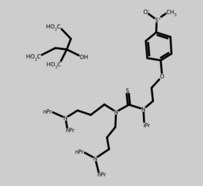 CCCN(CCC)CCCN(CCCN(CCC)CCC)C(=S)N(CCOc1ccc([S+](C)[O-])cc1)C(C)C.O=C(O)CC(O)(CC(=O)O)C(=O)O